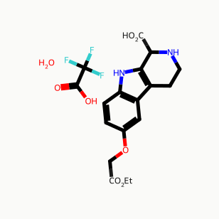 CCOC(=O)COc1ccc2[nH]c3c(c2c1)CCNC3C(=O)O.O.O=C(O)C(F)(F)F